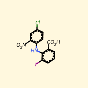 O=C(O)c1cccc(I)c1Nc1ccc(Cl)cc1[N+](=O)[O-]